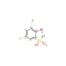 O=S(=O)(Cl)c1cc(F)cc(F)c1Br